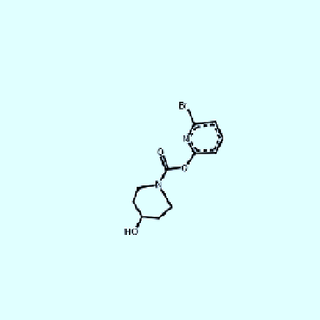 O=C(Oc1cccc(Br)n1)N1CCC(O)CC1